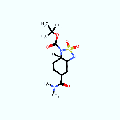 CN(C)C(=O)[C@H]1CC[C@H]2C(C1)NS(=O)(=O)N2C(=O)OC(C)(C)C